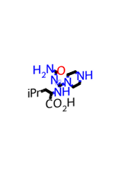 CC(C)CC(N/C(=N/C(N)=O)N1CCNCC1)C(=O)O